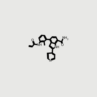 C=CC(=O)Nc1cccc(-c2ccc(C(N)=O)c3[nH]c(-c4ccncc4)cc23)c1C